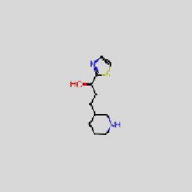 OC(CCC1CCCNC1)c1nccs1